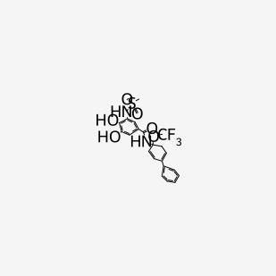 CS(=O)(=O)Nc1cc(C(=O)NC2(OC(F)(F)F)C=CC(c3ccccc3)=CC2)cc(O)c1O